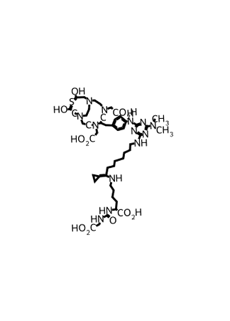 CN(C)c1nc(NCCCCCCCC(NCCCCC(NC(=O)NCC(=O)O)C(=O)O)=C2CC2)nc(Nc2ccc(CC3CN(CC(=O)O)CCN4CCN(CCN3CC(=O)O)CC(O)=S=C(O)C4)cc2)n1